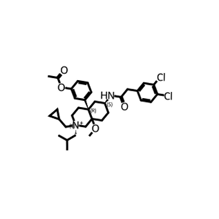 COC12CC[C@H](NC(=O)Cc3ccc(Cl)c(Cl)c3)C[C@@]1(c1cccc(OC(C)=O)c1)CC[N@+](CC(C)C)(CC1CC1)C2